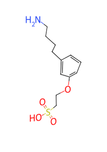 NCCCCc1cccc(OCCS(=O)(=O)O)c1